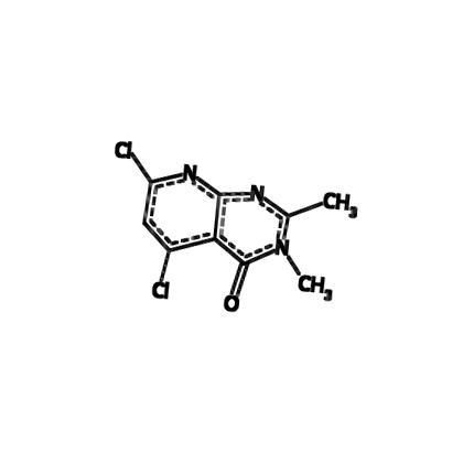 Cc1nc2nc(Cl)cc(Cl)c2c(=O)n1C